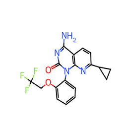 Nc1nc(=O)n(-c2ccccc2OCC(F)(F)F)c2nc(C3CC3)ccc12